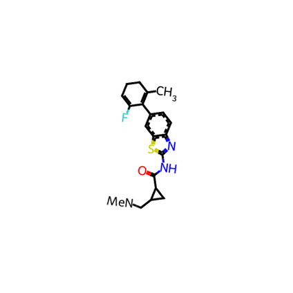 CNCC1CC1C(=O)Nc1nc2ccc(C3=C(C)CCC=C3F)cc2s1